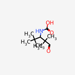 CC(C)(C)C(NC(=O)O)C(C)(C)C=O